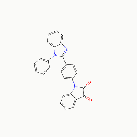 O=C1C(=O)N(c2ccc(-c3nc4ccccc4n3-c3ccccc3)cc2)c2ccccc21